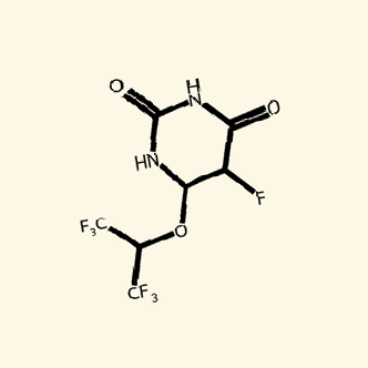 O=C1NC(=O)C(F)C(OC(C(F)(F)F)C(F)(F)F)N1